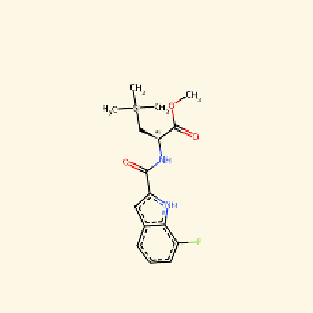 COC(=O)[C@H](C[Si](C)(C)C)NC(=O)c1cc2cccc(F)c2[nH]1